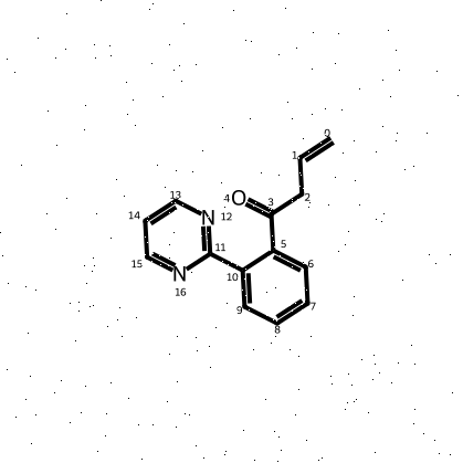 C=CCC(=O)c1ccccc1-c1ncccn1